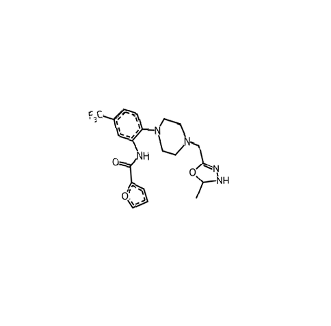 CC1NN=C(CN2CCN(c3ccc(C(F)(F)F)cc3NC(=O)c3ccco3)CC2)O1